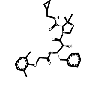 Cc1cccc(C)c1OCC(=O)N[C@@H](Cc1ccccc1)[C@H](O)C(=O)N1CSC(C)(C)[C@H]1C(=O)NCC1CC1